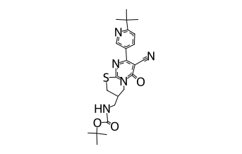 CC(C)(C)OC(=O)NCC1CSc2nc(-c3ccc(C(C)(C)C)nc3)c(C#N)c(=O)n2C1